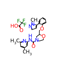 Cc1cc(C)nc(NC(=O)N2CCOC(COc3ccccc3-c3ccnn3C)C2)c1.O=C(O)C(F)(F)F